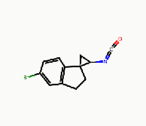 O=C=N[C@@H]1C[C@]12CCc1cc(Br)ccc12